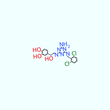 Nc1nc(N=Cc2c(Cl)cccc2Cl)nc(N=CC(O)c2ccc(O)c(O)c2)n1